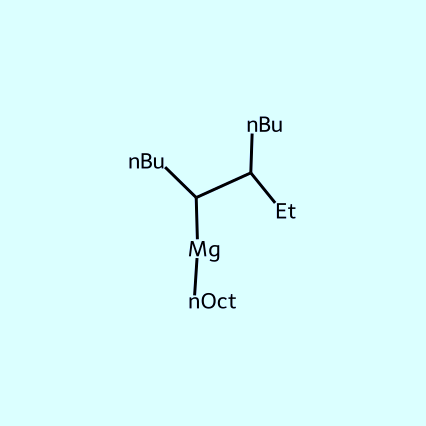 CCCCCCC[CH2][Mg][CH](CCCC)C(CC)CCCC